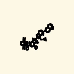 COc1cc(C(=O)N2C[C@H]3CC[C@@H]2[C@@H]3N)cc2nc(-c3cc4ccc(-c5ccc6ncccc6c5)nc4n3CC3CC3)n(C)c12